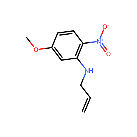 C=CCNc1cc(OC)ccc1[N+](=O)[O-]